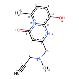 C#CCN(C)Cc1cc(=O)n2c(C)ccc(O)c2n1